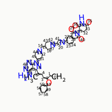 C=C/C(=C\C=C(/C)c1nn(C2CCN(CC3CCN(C4CN(c5ccc6c(c5)C(=O)N(C5CCC(=O)NC5=O)C6=O)C4)CC3)CC2)c2ncnc(N)c12)Oc1ccccc1